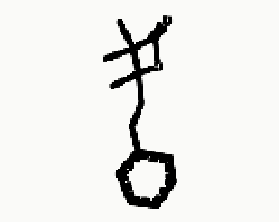 CC1(CCc2ccccc2)OC(=O)C1(C)C